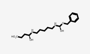 O=C(O)CC[C@H](O)NCCCCCN[C@H](O)OCc1ccccc1